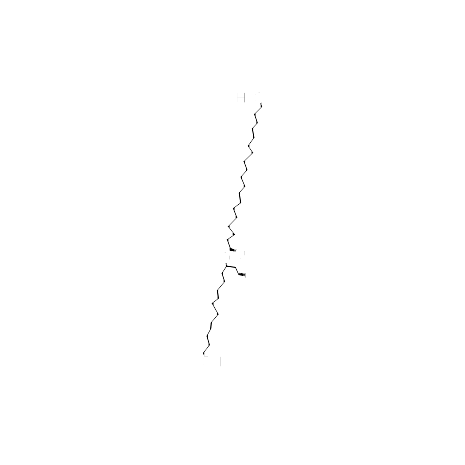 CCCCCCCCCCCCCCCCCCCC(=O)OC(CC=O)CCCCCCCCCCCC